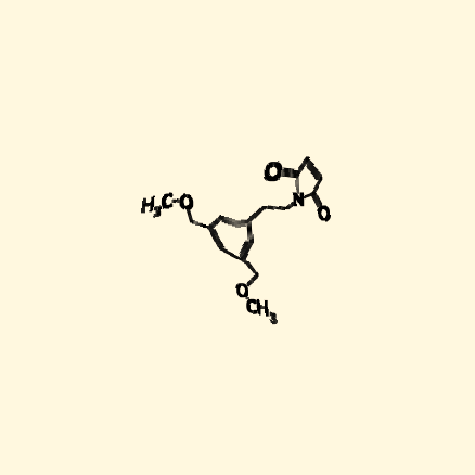 COCc1cc(CCN2C(=O)C=CC2=O)cc(COC)c1